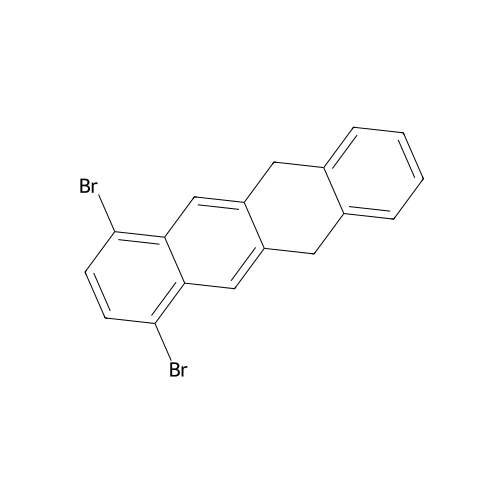 Brc1ccc(Br)c2cc3c(cc12)Cc1ccccc1C3